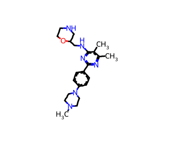 Cc1nc(-c2ccc(N3CCN(C)CC3)cc2)nc(NCC2CNCCO2)c1C